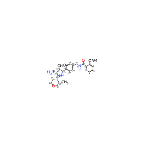 COc1ccccc1C(=O)NCc1ccc(-c2nn(C3CCOCC3C)c(N)c2C=O)cc1